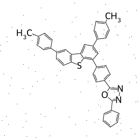 Cc1ccc(-c2ccc3sc4c(-c5ccc(-c6nnc(-c7ccccc7)o6)cc5)cc(-c5ccc(C)cc5)cc4c3c2)cc1